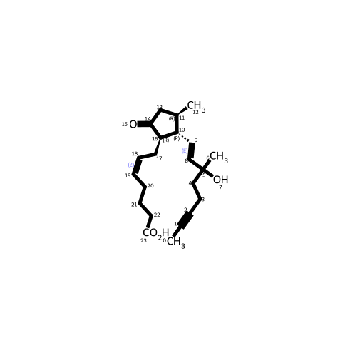 CC#CCCC(C)(O)/C=C/[C@H]1[C@H](C)CC(=O)[C@@H]1C/C=C\CCCC(=O)O